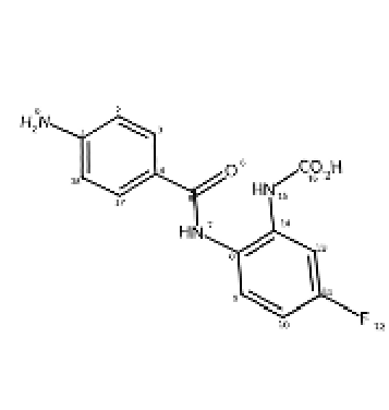 Nc1ccc(C(=O)Nc2ccc(F)cc2NC(=O)O)cc1